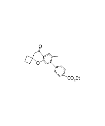 CCOC(=O)c1ccc(-c2cc3c(cc2C)C(=O)CC2(CCC2)O3)cc1